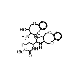 CC(C)CC(NC(=O)OC(C)(C)C)C(=O)NC1COc2ccccc2OCC1O.NC1COc2ccccc2OCC1O